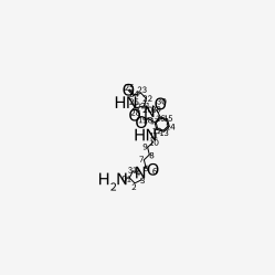 NC1CCN(C(=O)CCCCNc2cccc3c2C(=O)N(C2CCC(=O)NC2=O)C3=O)C1